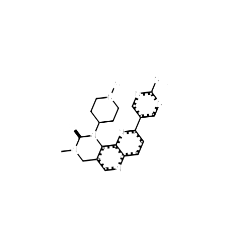 CC(=O)N1CCC(N2C(=O)N(C)Cc3cnc4ccc(-c5cnc(N)nc5)nc4c32)CC1